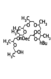 CCCCCCCCCCCC(=O)OC(CCCC)C(C)OCC(C)OCC(C)OCC(C)OCC(C)OCC(C)OCC(C)O